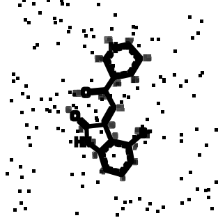 O=C1Nc2cccc(Br)c2C1=CC(=O)c1cccnc1